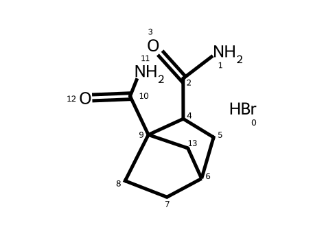 Br.NC(=O)C1CC2CCC1(C(N)=O)C2